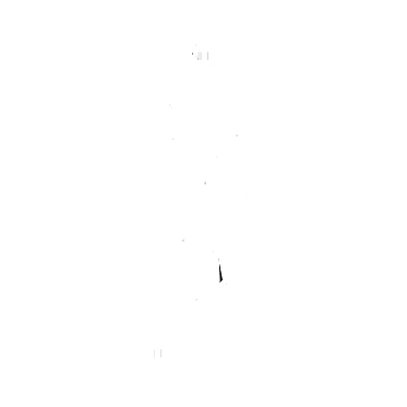 COC(=O)C[C@H]1CC[C@H](c2ccc(N)cc2)CC1